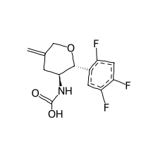 C=C1CO[C@H](c2cc(F)c(F)cc2F)[C@@H](NC(=O)O)C1